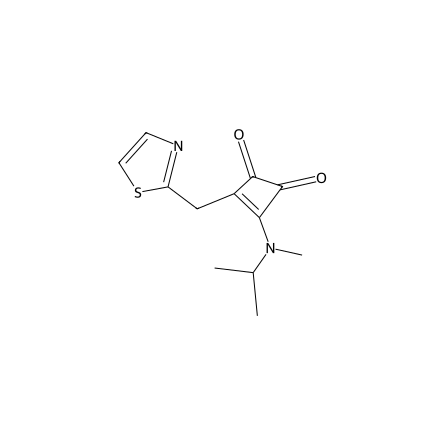 CC(C)N(C)c1c(Cc2nccs2)c(=O)c1=O